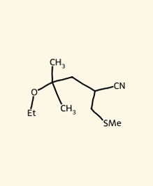 CCOC(C)(C)CC(C#N)CSC